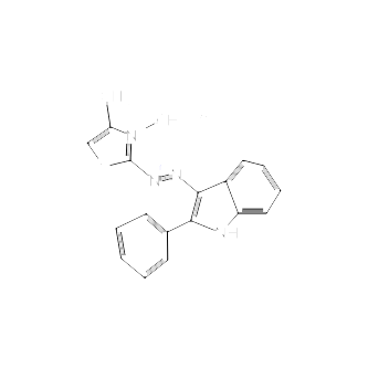 Cc1csc(/N=N/c2c(-c3ccccc3)[nH]c3ccccc23)[n+]1C.[Br-]